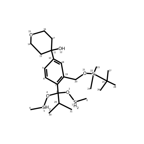 C[SiH2]OC(O[SiH2]C)(c1ccc(C2(O)CCOCC2)cc1CO[Si](C)(C)C(C)(C)C)C(C)C